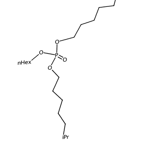 CCCCCCOP(=O)(OCCCCCC(C)C)OCCCCCC(C)C